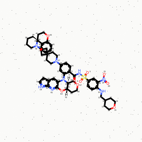 O=C(NS(=O)(=O)c1ccc(NCC2CCOCC2)c([N+](=O)[O-])c1)c1ccc(N2CCC3(CC2)CC(N2CCCC[C@]24CCOc2ccccc24)C3)cc1N1c2cc3cc[nH]c3nc2O[C@H]2CCOC[C@@H]21